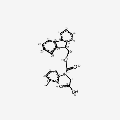 Cc1cccc(N(CC(=O)O)C(=O)OCC2c3ccccc3-c3ccccc32)c1